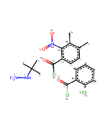 CC(C)(C)NN.Cc1ccc(C(=O)Cl)c([N+](=O)[O-])c1C.Cl.O=C(Cl)c1ccccc1